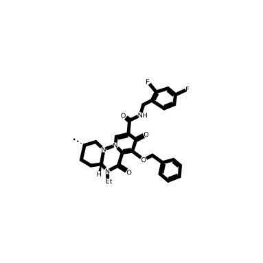 CCN1C(=O)c2c(OCc3ccccc3)c(=O)c(C(=O)NCc3ccc(F)cc3F)cn2N2C[C@@H](C)CC[C@@H]12